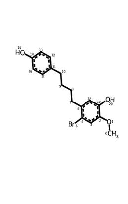 COc1cc(Br)c(CCCCc2ccc(O)cc2)cc1O